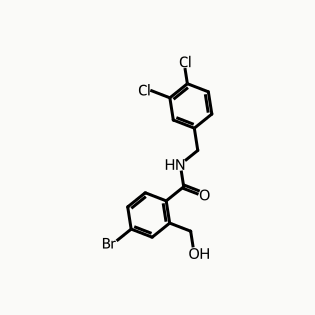 O=C(NCc1ccc(Cl)c(Cl)c1)c1ccc(Br)cc1CO